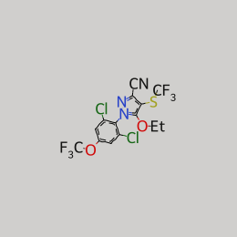 CCOc1c(SC(F)(F)F)c(C#N)nn1-c1c(Cl)cc(OC(F)(F)F)cc1Cl